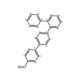 COc1ccc(-c2cc[n+](-c3ccccc3-c3ccccc3)cc2)cc1